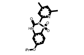 Cc1cc(C)nc(N2C(=O)Nc3cc(OC(C)C)ccc3S2(=O)=O)c1